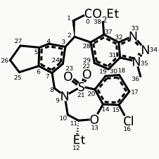 CCOC(=O)C[C@H](c1cc2c(c(CN3C[C@@H](CC)Oc4c(Cl)cccc4S3(=O)=O)c1)CCC2)c1ccc2c(nnn2C)c1C